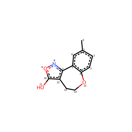 Cc1ccc2c(c1)-c1noc(O)c1CCO2